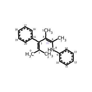 CC(C)=C(/C(C)=C(/C)Nc1ccccc1)c1ccccc1